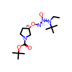 CCN(/[N+]([O-])=N/O[C@@H]1CCN(C(=O)OC(C)(C)C)C1)C(C)(C)C